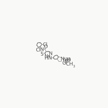 CS(=O)(=O)NN1CCc2cc(Nc3ncc4c(n3)SCN(c3c(Cl)cccc3Cl)C4=O)ccc2C1